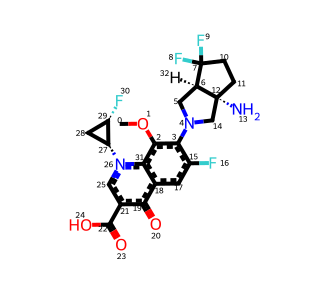 COc1c(N2C[C@H]3C(F)(F)CC[C@@]3(N)C2)c(F)cc2c(=O)c(C(=O)O)cn([C@@H]3C[C@@H]3F)c12